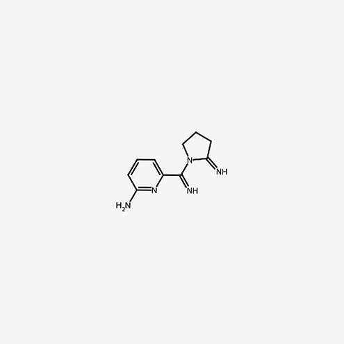 N=C1CCCN1C(=N)c1cccc(N)n1